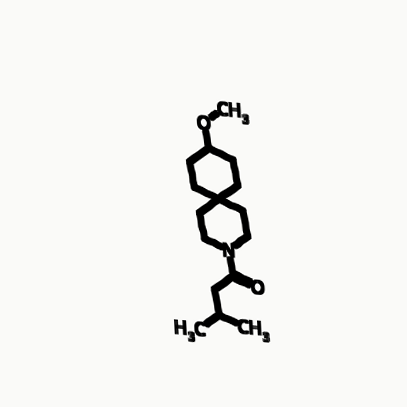 COC1CCC2(CC1)CCN(C(=O)CC(C)C)CC2